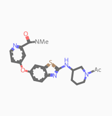 CNC(=O)c1cc(Oc2ccc3nc(NC4CCCN(C(C)=O)C4)sc3c2)ccn1